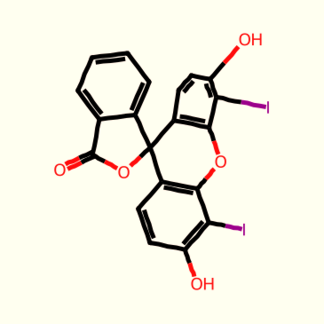 O=C1OC2(c3ccccc31)c1ccc(O)c(I)c1Oc1c2ccc(O)c1I